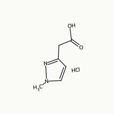 Cl.Cn1ccc(CC(=O)O)n1